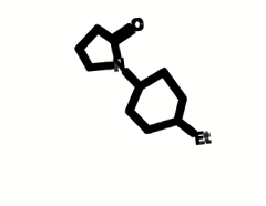 CCC1CCC(N2CCCC2=O)CC1